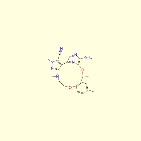 Cc1ccc2c(c1)[C@@H](C)Oc1nc(cnc1N)-c1c(nn(C)c1C#N)N(C)CCO2